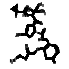 CCOC(=O)COc1cc(F)ccc1CNC(=O)[C@@H]1C[C@@H](O)CN1C(=O)[C@@H](NC(=O)C1(F)CC1)C(C)(C)C